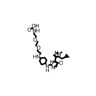 Cn1ncc(-c2nc(NC3CCC(NCCOCCOCCNC(=O)O)CC3)ncc2Cl)c1CC1CC1